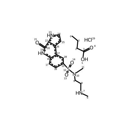 CCCC(=O)O.CNCCN(C)S(=O)(=O)c1ccc2[nH]c(=O)c3[nH]ccc3c2c1.Cl